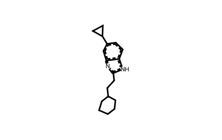 c1cc2[nH]c(CC[C]3CCCCC3)nc2cc1C1CC1